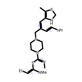 CC/C=C(/NC)S/C(=N\C)N1CCN(CC(/C=C/CCC)=C/C2=C(C)SCN2)CC1